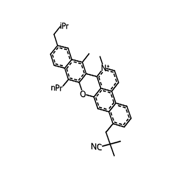 CCCc1c2c(c(C)c3cc(CC(C)C)ccc13)-c1c3c(cc4c(CC(C)(C)C#N)cccc4c3cc[n+]1C)O2